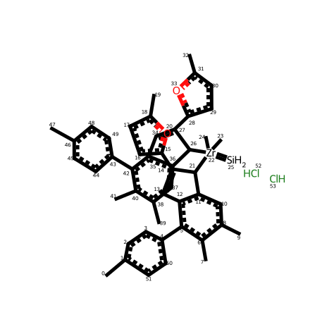 Cc1ccc(-c2c(C)c(C)cc3c2C=C(c2ccc(C)o2)[CH]3[Zr]([CH3])([CH3])(=[SiH2])[CH]2C(c3ccc(C)o3)=Cc3c2cc(C)c(C)c3-c2ccc(C)cc2)cc1.Cl.Cl